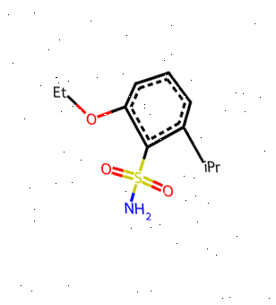 CCOc1cccc(C(C)C)c1S(N)(=O)=O